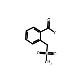 CS(=O)(=O)Cc1ccccc1C(=O)Cl